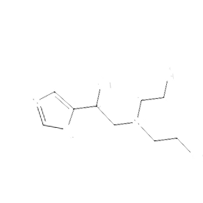 CCCN(CCO)CC(O)c1cncs1